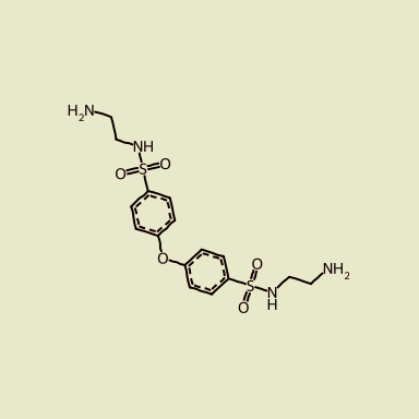 NCCNS(=O)(=O)c1ccc(Oc2ccc(S(=O)(=O)NCCN)cc2)cc1